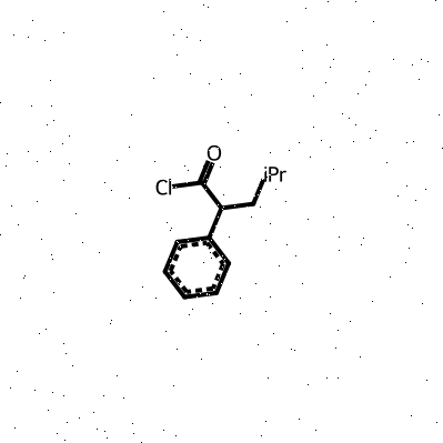 CC(C)CC(C(=O)Cl)c1ccccc1